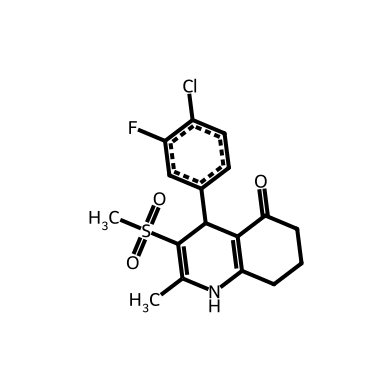 CC1=C(S(C)(=O)=O)C(c2ccc(Cl)c(F)c2)C2=C(CCCC2=O)N1